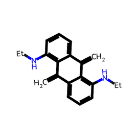 C=c1c2cccc(NCC)c2c(=C)c2cccc(NCC)c12